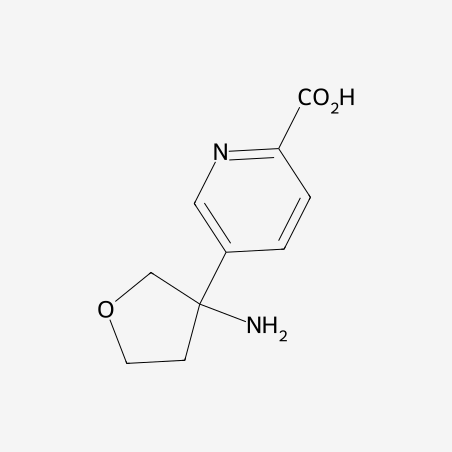 NC1(c2ccc(C(=O)O)nc2)CCOC1